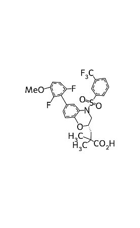 COc1ccc(F)c(-c2ccc3c(c2)N(S(=O)(=O)c2cccc(C(F)(F)F)c2)C[C@H](CC(C)(C)C(=O)O)O3)c1F